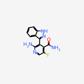 NC(=O)c1c(F)cnc(N)c1-c1n[nH]c2ccccc12